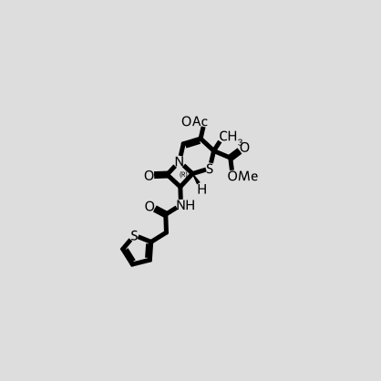 COC(=O)C1(C)S[C@@H]2C(NC(=O)Cc3cccs3)C(=O)N2C=C1OC(C)=O